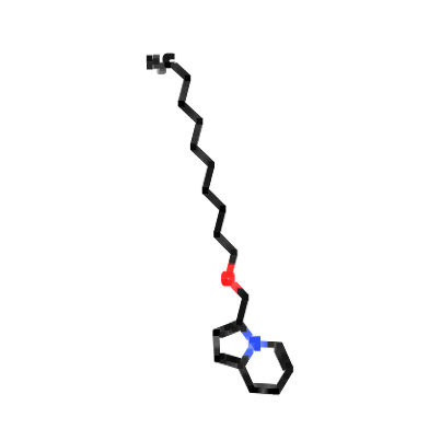 CCCCCCCCCCOCc1ccc2ccccn12